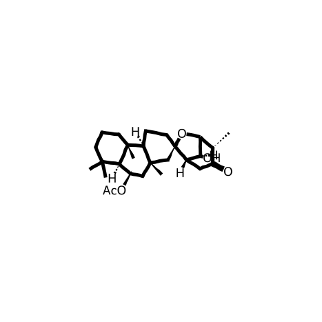 CC(=O)O[C@@H]1C[C@@]2(C)C[C@@]3(CC[C@@H]2[C@@]2(C)CCCC(C)(C)[C@H]12)OC1[C@H](C)C(=O)C[C@H]3[C@@H]1O